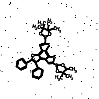 CC1OB(c2cc3c(s2)c2sc(B4OC(C)(C)C(C)(C)O4)cc2c2oc(-c4ccccc4)c(-c4ccccc4)c32)OC1(C)C